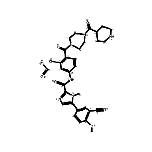 COc1ccc(-c2cnc(C(=O)Nc3ccc(C(=O)N4CCN(C(=O)C5CCNCC5)CC4)c(Cl)c3)n2C)cc1C#N.O=CO